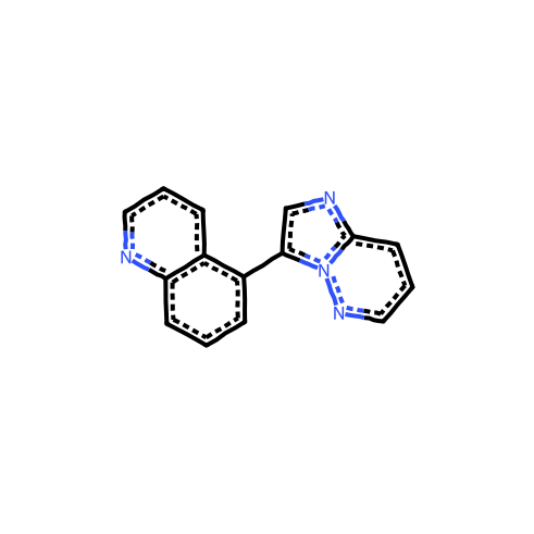 c1cc(-c2cnc3cccnn23)c2cccnc2c1